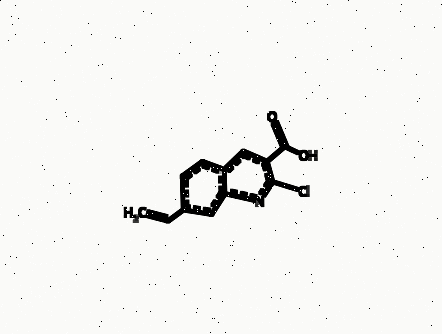 C=Cc1ccc2cc(C(=O)O)c(Cl)nc2c1